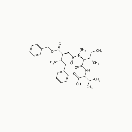 CC[C@H](C)[C@@H](C(=O)NC(C(=O)O)C(C)C)N(N)C(=O)C[C@H](C(=O)OCc1ccccc1)[C@@H](N)Cc1ccccc1